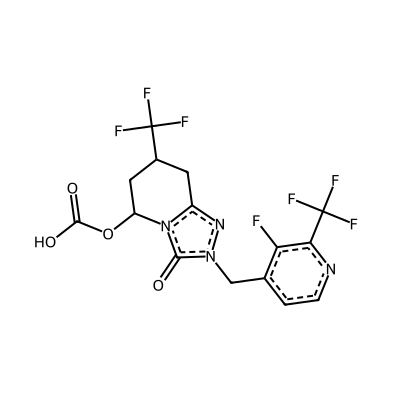 O=C(O)OC1CC(C(F)(F)F)Cc2nn(Cc3ccnc(C(F)(F)F)c3F)c(=O)n21